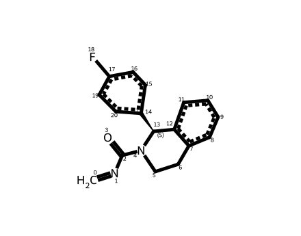 C=NC(=O)N1CCc2ccccc2[C@@H]1c1ccc(F)cc1